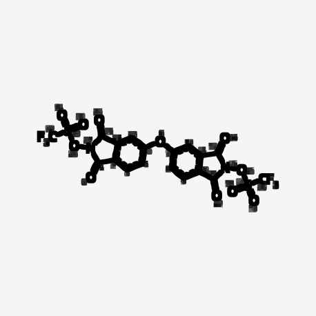 O=C1c2ccc(Oc3ccc4c(c3)C(=O)N(OS(=O)(=O)C(F)(F)F)C4=O)cc2C(=O)N1OS(=O)(=O)C(F)(F)F